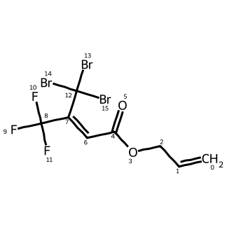 C=CCOC(=O)C=C(C(F)(F)F)C(Br)(Br)Br